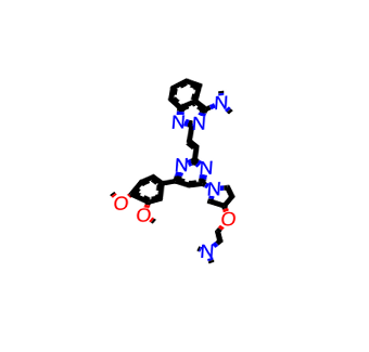 COc1ccc(-c2cc(N3CCC(OCCN(C)C)C3)nc(/C=C/c3nc(N(C)C)c4ccccc4n3)n2)cc1OC